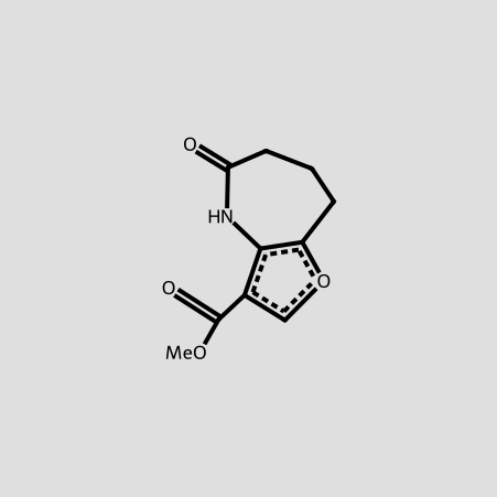 COC(=O)c1coc2c1NC(=O)CCC2